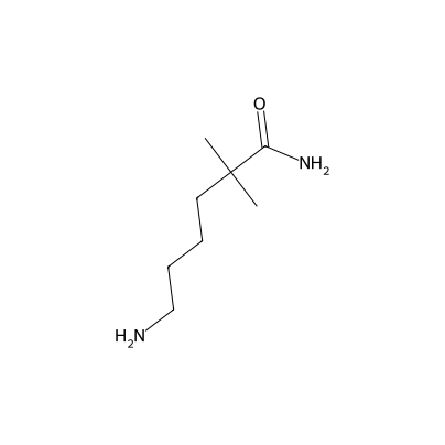 CC(C)(CCCCN)C(N)=O